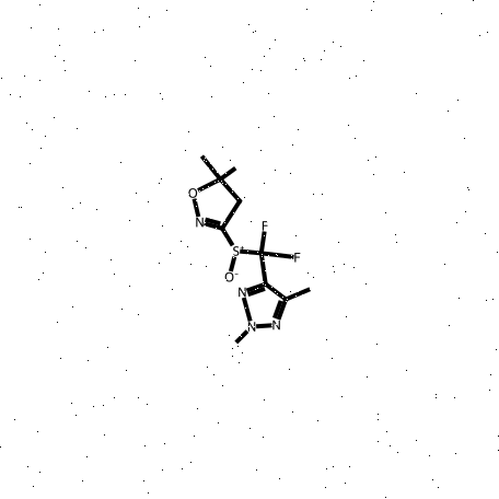 Cc1nn(C)nc1C(F)(F)[S+]([O-])C1=NOC(C)(C)C1